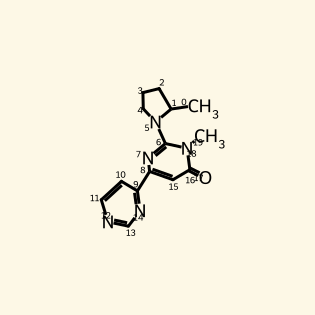 CC1CCCN1c1nc(-c2ccncn2)cc(=O)n1C